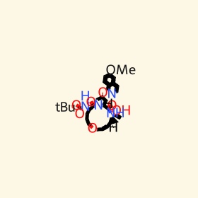 C=C(O)[C@@]12C[C@H]1/C=C\COCCC[C@H](NC(=O)OC(C)(C)C)C(=O)N1C[C@H](Oc3nccc4cc(OC)ccc34)C[C@H]1C(=O)N2